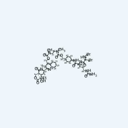 CC[C@@]1(O)C(=O)OCc2c1cc1n(c2=O)Cc2c-1nc1ccccc1c2COC(=O)N(C)CCN(C)C(=O)OCc1ccc(NC(=O)[C@H](CCCNC(N)=O)NC(=O)[C@@H](NC(C)C)C(C)C)cc1